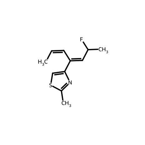 C/C=C\C(=C/C(C)F)c1csc(C)n1